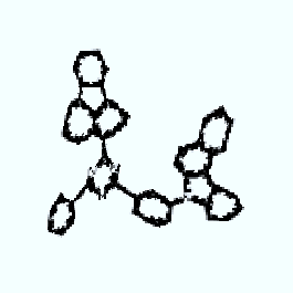 c1ccc(-c2nc(-c3cccc(-n4c5ccccc5c5c6ccccc6ccc54)c3)nc(-c3ccc4c5c(cccc35)-c3ccccc3-4)n2)cc1